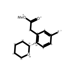 COC(=O)Cc1cc(F)ccc1[C@H]1CCCCO1